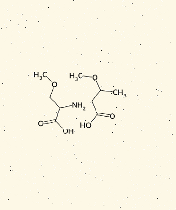 COC(C)CC(=O)O.COCC(N)C(=O)O